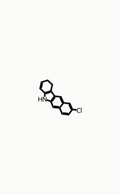 Clc1ccc2cc3[nH]c4c(c3cc2c1)CCC=C4